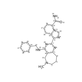 CN1CCCc2nc(-c3ncn4c(C(N)=O)cccc34)nc(NCc3ccccc3)c2C1